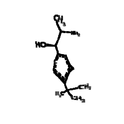 CC(N)[C@H](O)c1ccc(C(C)(C)C)cc1